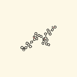 CC1(C)c2ccccc2-c2ccc(-c3c4ccccc4c(-c4cccc(-c5ccc6c7c(ccc6c5)-c5c(ccc6ccccc56)C75c6ccccc6-c6cc(-c7ccc8ccc9c(c8c7)-c7ccc8cc(-c%10ccc(-c%11c%12ccccc%12c(-c%12ccc%13oc%14ccccc%14c%13c%12)c%12ccccc%11%12)cc%10)ccc8c7C97c8ccccc8-c8ccccc87)ccc65)c4)c4ccccc34)cc21